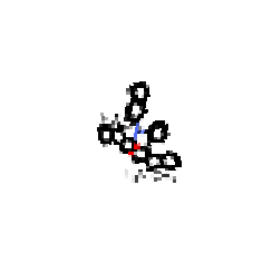 CC1(C)c2ccccc2-c2c(-c3ccccc3N(c3ccc4ccccc4c3)c3cccc4c3C(C)(C)c3ccccc3-4)cccc21